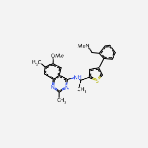 CNCc1ccccc1-c1csc(C(C)Nc2nc(C)nc3cc(C)c(OC)cc23)c1